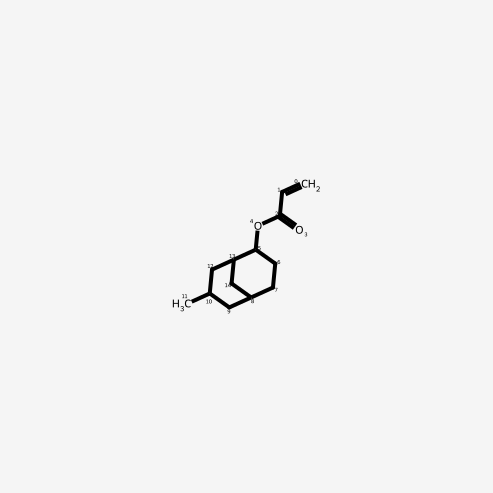 C=CC(=O)OC1CCC2CC(C)CC1C2